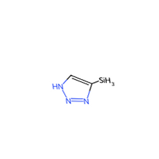 [SiH3]c1c[nH]nn1